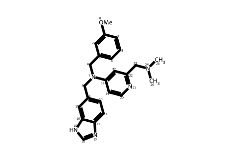 COc1cccc(CN(Cc2ccc3nc[nH]c3c2)c2ccnc(CN(C)C)c2)c1